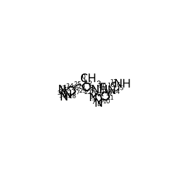 Cc1cc(Nc2ncnc3ccc(N4CCNCC4)c(F)c23)ccc1Cc1ccn2ncnc2c1